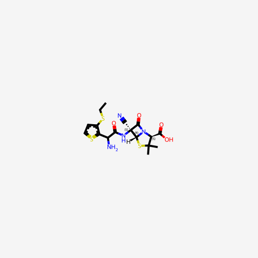 CCSc1ccsc1C(N)C(=O)N[C@@]1(C#N)C(=O)N2[C@@H](C(=O)O)C(C)(C)S[C@@H]21